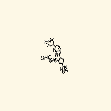 Cn1nnc(-c2ccc(-c3cn4ccc(C5=CC(C)(C)NC(C)(C)C5)nc4n3)c(O)c2)n1.O=CO